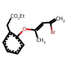 C=C(Br)/C=C(\C)Oc1ccccc1CC(=O)OCC